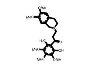 COc1cc2c(cc1OC)CN(CCC(=O)c1c(C)c(OC)c(OC)c(OC)c1O)CC2